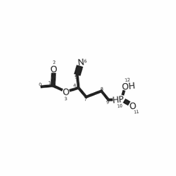 CC(=O)OC(C#N)CCC[PH](=O)O